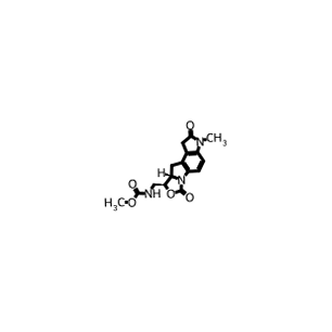 COC(=O)NC[C@@H]1OC(=O)N2c3ccc4c(c3C[C@@H]12)CC(=O)N4C